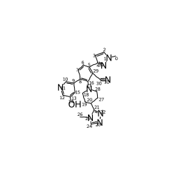 Cn1ccc(-c2ccc(-c3cncc(O)c3)c(N3CCC(c4nncn4C)CC3)c2C#N)n1